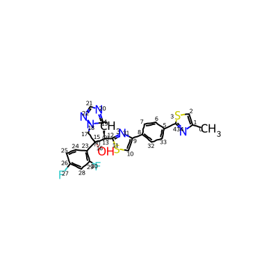 Cc1csc(-c2ccc(-c3csc([C@H](C)[C@](O)(Cn4cncn4)c4ccc(F)cc4F)n3)cc2)n1